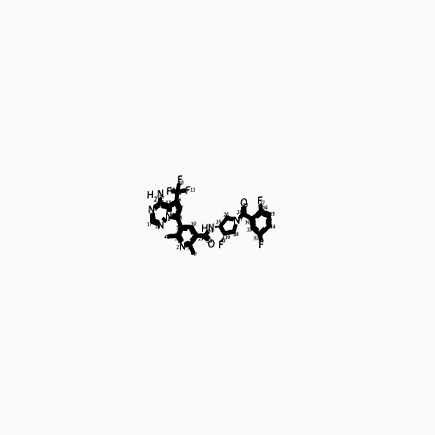 Cc1nc(C)c(-c2cc(C(F)(F)F)c3c(N)ncnn23)cc1C(=O)N[C@@H]1CN(C(=O)c2cc(F)ccc2F)C[C@@H]1F